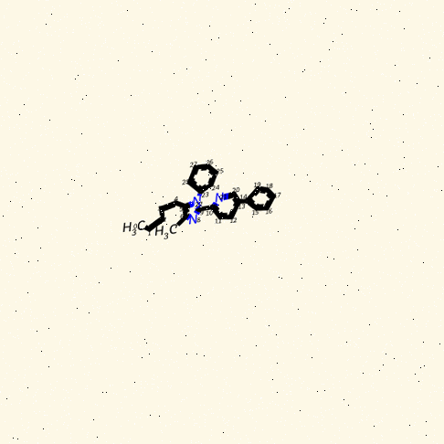 C/C=C\C=C/c1c(C)nc(-c2ccc(-c3ccccc3)cn2)n1-c1ccccc1